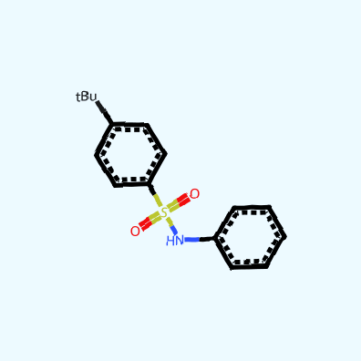 CC(C)(C)c1ccc(S(=O)(=O)Nc2ccccc2)cc1